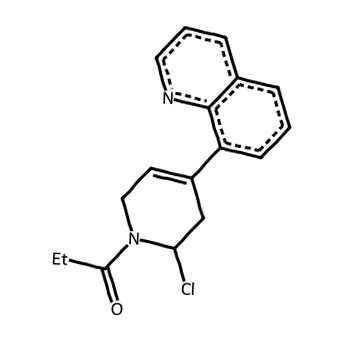 CCC(=O)N1CC=C(c2cccc3cccnc23)CC1Cl